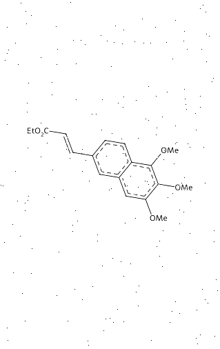 CCOC(=O)C=Cc1ccc2c(OC)c(OC)c(OC)cc2c1